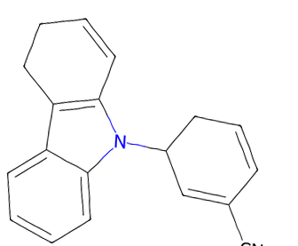 N#CC1=CC(n2c3c(c4ccccc42)CCC=C3)CC=C1